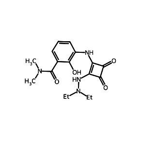 CCN(CC)Nc1c(Nc2cccc(C(=O)N(C)C)c2O)c(=O)c1=O